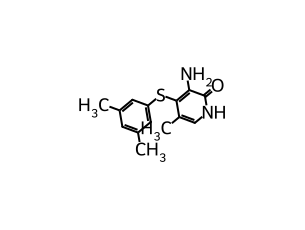 Cc1cc(C)cc(Sc2c(C)c[nH]c(=O)c2N)c1